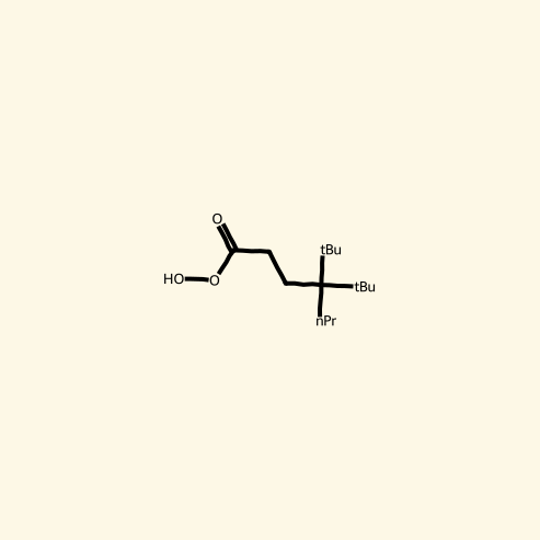 CCCC(CCC(=O)OO)(C(C)(C)C)C(C)(C)C